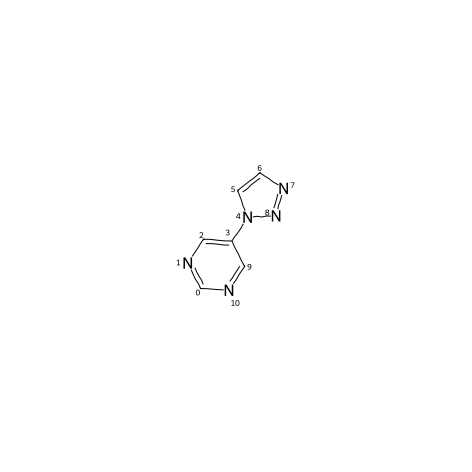 c1ncc(-n2ccnn2)cn1